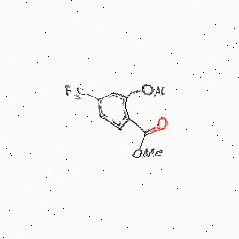 COC(=O)c1ccc(C(F)(F)F)cc1OC(C)=O